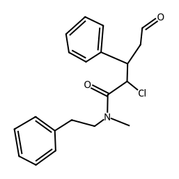 CN(CCc1ccccc1)C(=O)C(Cl)C(CC=O)c1ccccc1